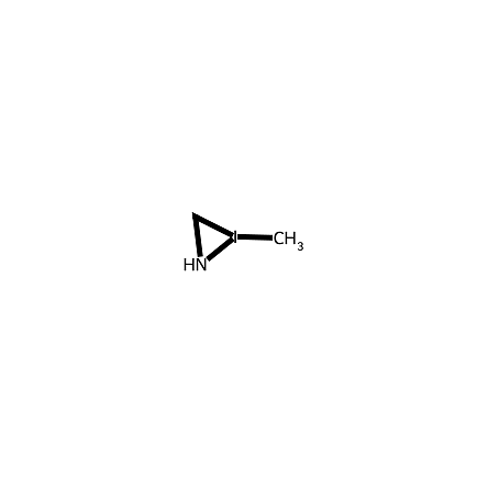 CI1CN1